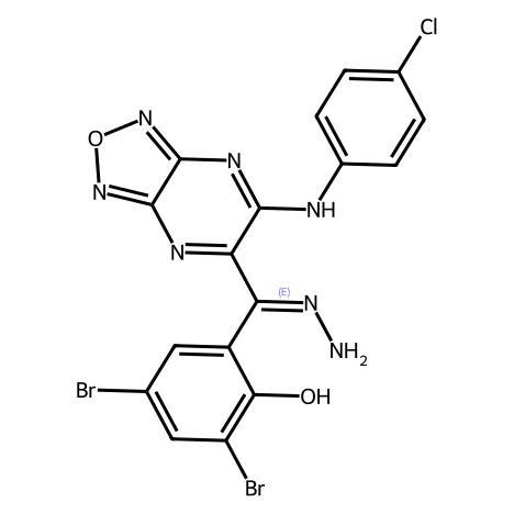 N/N=C(\c1cc(Br)cc(Br)c1O)c1nc2nonc2nc1Nc1ccc(Cl)cc1